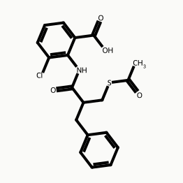 CC(=O)SCC(Cc1ccccc1)C(=O)Nc1c(Cl)cccc1C(=O)O